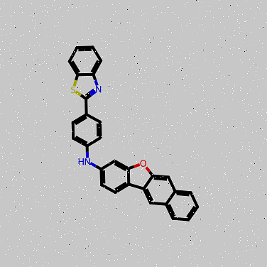 c1ccc2cc3c(cc2c1)oc1cc(Nc2ccc(-c4nc5ccccc5s4)cc2)ccc13